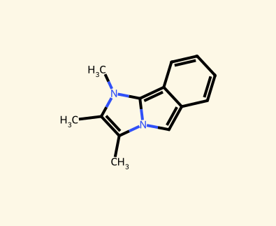 Cc1c(C)n2cc3ccccc3c2n1C